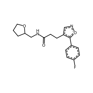 O=C(CCc1cnoc1-c1ccc(F)cc1)NCC1CCCO1